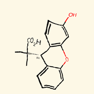 CC(C)(C(=O)O)[C@H]1c2ccccc2Oc2cc(O)ccc21